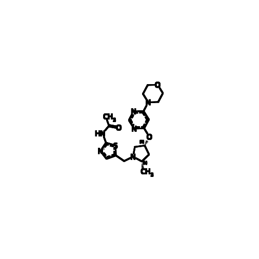 CC(=O)Nc1ncc(CN2C[C@H](Oc3cc(N4CCOCC4)ncn3)C[C@@H]2C)s1